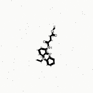 CC[n+]1c2ccccc2nc2c(NC(=O)CCC(=O)OC)cccc21